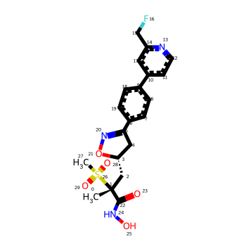 C[C@@](C[C@H]1CC(c2ccc(-c3ccnc(CF)c3)cc2)=NO1)(C(=O)NO)S(C)(=O)=O